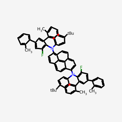 Cc1ccccc1-c1cc(F)c(N(c2ccc(C(C)(C)C)cc2)c2ccc3ccc4c(N(c5ccc(C(C)(C)C)cc5)c5c(F)cc(-c6ccccc6C)cc5-c5ccccc5C)ccc5ccc2c3c54)c(-c2ccccc2C)c1